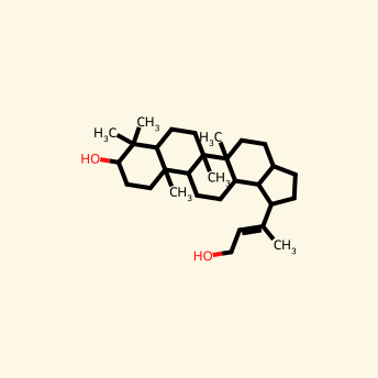 CC(=CCO)C1CCC2CCC3(C)C(CCC4C5(C)CCC(O)C(C)(C)C5CCC43C)C21